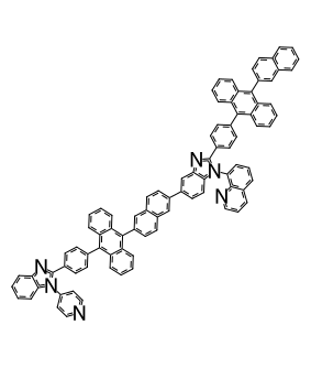 c1ccc2cc(-c3c4ccccc4c(-c4ccc(-c5nc6cc(-c7ccc8cc(-c9c%10ccccc%10c(-c%10ccc(-c%11nc%12ccccc%12n%11-c%11ccncc%11)cc%10)c%10ccccc9%10)ccc8c7)ccc6n5-c5cccc6cccnc56)cc4)c4ccccc34)ccc2c1